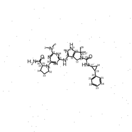 CN(C)c1nc(Nc2n[nH]c3c2CN(C(=O)NC2CC2c2ccccc2)C3(C)C)nc(N2CCC[C@H]2C(N)=O)n1